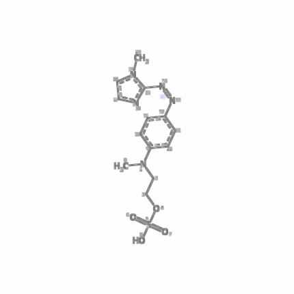 CN(CCOS(=O)(=O)O)c1ccc(/N=N\c2nccn2C)cc1